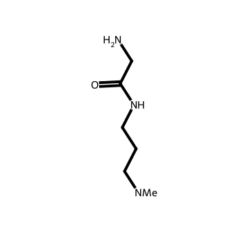 CNCCCNC(=O)CN